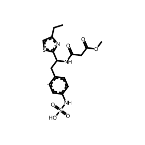 CCc1csc(C(Cc2[c]cc(NS(=O)(=O)O)cc2)NC(=O)CC(=O)OC)n1